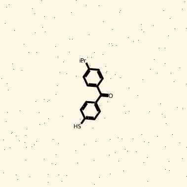 CC(C)c1ccc(C(=O)c2ccc(S)cc2)cc1